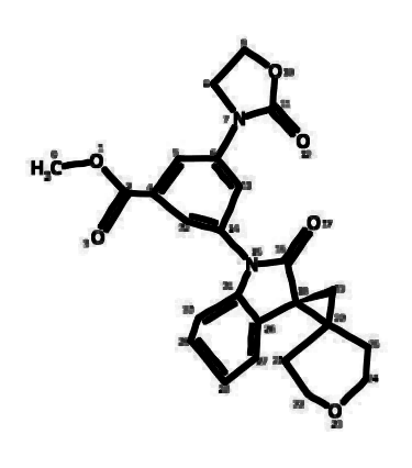 COC(=O)c1cc(N2CCOC2=O)cc(N2C(=O)[C@@]3(CC34CCOCC4)c3ccccc32)c1